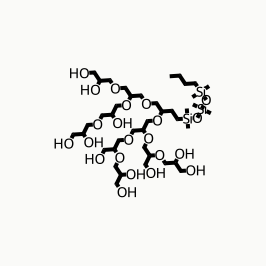 CCCC[Si](C)(C)O[Si](C)(C)O[Si](C)(C)CCC(COCC(COCC(O)CO)OCC(O)COCC(O)CO)OCC(COCC(CO)OCC(O)CO)OCC(CO)OCC(O)CO